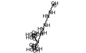 O=C(O)CCCCCNCCNCCCCCCNCCNCCNCCCCCCN(CCOC1O[C@H](CO)[C@@H](O)[C@H](O)[C@@H]1O)CCO[C@H]1O[C@H](CO)[C@@H](O)[C@H](O)[C@@H]1O